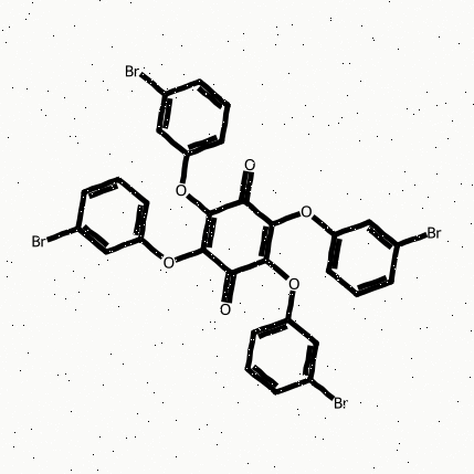 O=C1C(Oc2cccc(Br)c2)=C(Oc2cccc(Br)c2)C(=O)C(Oc2cccc(Br)c2)=C1Oc1cccc(Br)c1